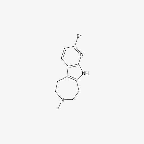 CN1CCc2[nH]c3nc(Br)ccc3c2CC1